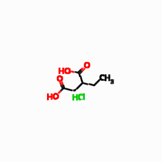 CCC(CC(=O)O)C(=O)O.Cl